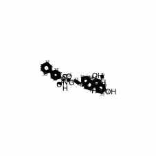 CC[C@H]1[C@@H](O)[C@@H]2[C@H](CC[C@]3(C)[C@@H](CCOC(=O)NS(=O)(=O)c4ccc(C5CCCCC5)cc4)CC[C@@H]23)[C@@]2(C)CC[C@@H](O)C[C@@H]12